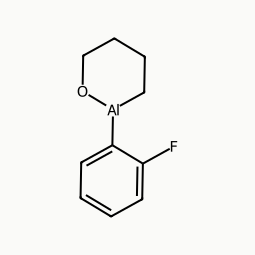 Fc1cccc[c]1[Al]1[CH2]CCC[O]1